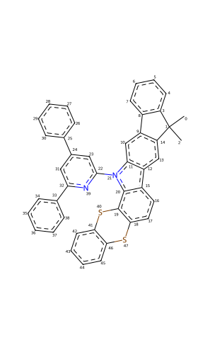 CC1(C)c2ccccc2-c2cc3c(cc21)c1ccc2c(c1n3-c1cc(-c3ccccc3)cc(-c3ccccc3)n1)Sc1ccccc1S2